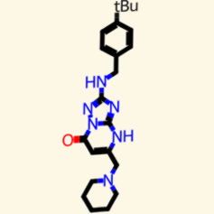 CC(C)(C)c1ccc(CNc2nc3[nH]c(CN4CCCCC4)cc(=O)n3n2)cc1